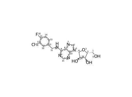 OC[C@H]1O[C@@H](n2cnc3c(NCc4ccc(F)c(Cl)c4)ncnc32)[C@H](O)[C@@H]1O